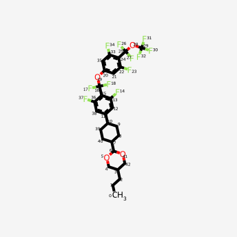 CCCC1COC(C2CCC(c3cc(F)c(C(F)(F)Oc4cc(F)c(C(F)(F)OC(F)(F)F)c(F)c4)c(F)c3)CC2)OC1